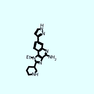 CCn1c(C2CCCNC2)nc2c(N)nc3cc(-c4cc[nH]n4)ccc3c21